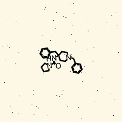 O=C(NC1(Cc2ccccc2)CCN(Cc2ccccc2)CC1)N1CCCC1